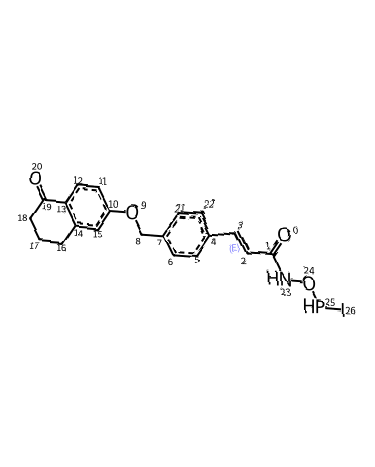 O=C(/C=C/c1ccc(COc2ccc3c(c2)CCCC3=O)cc1)NOPI